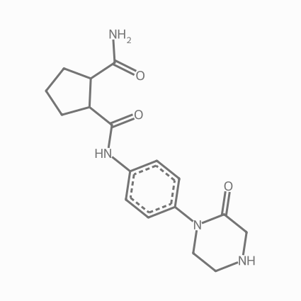 NC(=O)C1CCCC1C(=O)Nc1ccc(N2CCNCC2=O)cc1